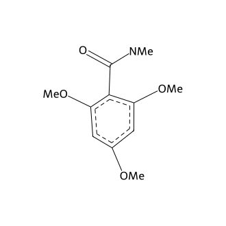 [CH2]NC(=O)c1c(OC)cc(OC)cc1OC